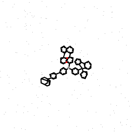 c1ccc(-c2cccc3cccc(-c4ccc(N(c5ccc(-c6ccc(C78CC9CC(CC(C9)C7)C8)cc6)cc5)c5cccc(C6(c7ccccc7)c7ccccc7-c7ccccc76)c5)cc4)c23)cc1